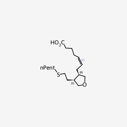 CCCCCSCC[C@@H]1COC[C@@H]1C/C=C\CCCC(=O)O